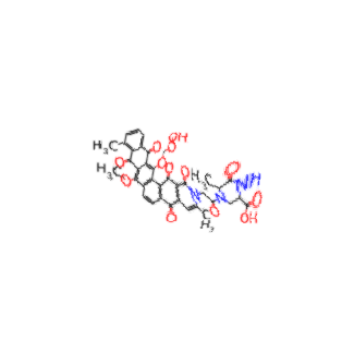 COc1c2ccc3c(=O)c4cc(C)n(CC(=O)N5CC(C(=O)O)NC(=O)C5C)c(=O)c4c(=O)c3c2c(OCOO)c2c(=O)c3cccc(C)c3c(=O)c12